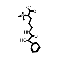 C[N+](C)(C)C(CCCNC(=O)C(O)c1ccccc1)C(=O)[O-]